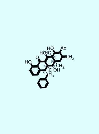 C=C1C[C@@]2(C)[C@H](O)[C@]3(C)C(=C(O)[C@@]2(O)C(O)=C1C(C)=O)C(=O)c1c(O)cccc1[C@H]3Cc1ccccc1